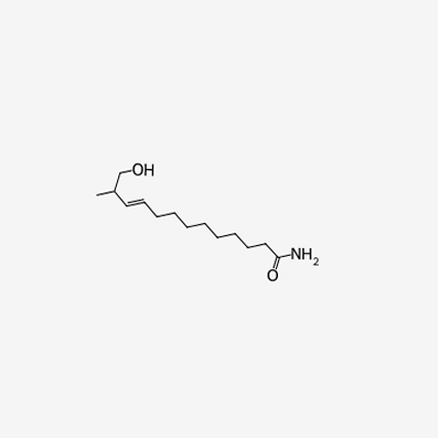 CC(C=CCCCCCCCCC(N)=O)CO